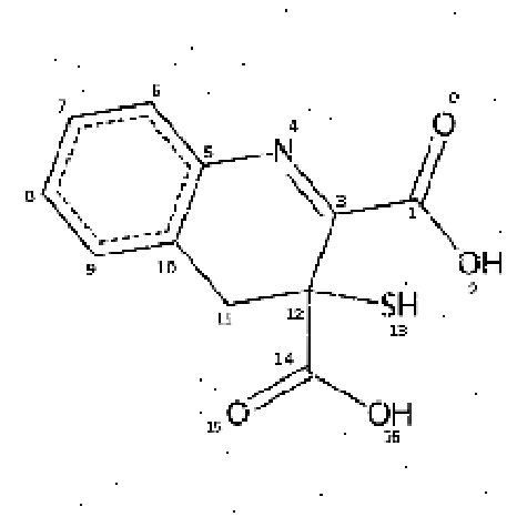 O=C(O)C1=Nc2ccccc2CC1(S)C(=O)O